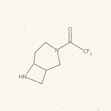 O=C(N1CCC2NCC2C1)C(F)(F)F